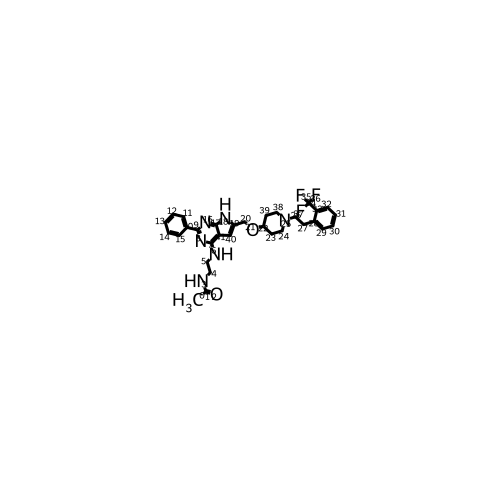 CC(=O)NCCNc1nc(-c2ccccc2)nc2[nH]c(COC3CCN(CCc4ccccc4C(F)(F)F)CC3)cc12